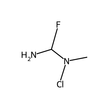 CN(Cl)C(N)F